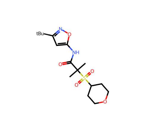 CC(C)(C)c1cc(NC(=O)C(C)(C)S(=O)(=O)C2CCOCC2)on1